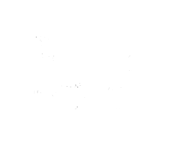 O=C(Nc1n[nH]c2cc(C(=O)O)sc12)c1cccc(N2CCOCC2)c1